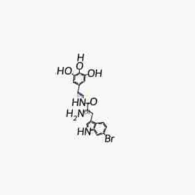 N[C@@H](Cc1c[nH]c2cc(Br)ccc12)C(=O)N/C=C/c1cc(O)c(O)c(O)c1